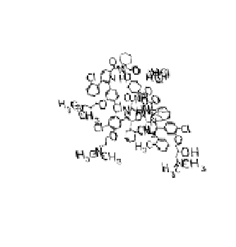 Cc1ccccc1-c1ccc(C(=O)NC2(C(=O)OC(=O)C3(NC(=O)c4ccc(-c5ccccc5C)c(-c5ccc(Cl)c(OC[C@@H](O)CN(C)C)c5)n4)C4CC5CC(C4)CC3C5)CCC(OC(=O)C3(NC(=O)c4ccc(-c5ccccc5Cl)c(-c5ccc(Cl)c(OCCCN(C)C)c5)n4)CCCCC3)CC2)nc1-c1ccc(Cl)c(OCCCN(C)C)c1.Cl.Cl.Cl